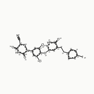 N#Cc1nn(-c2cc(Cl)c(Oc3cc(CCc4ccc(F)cc4)c(=O)[nH]n3)c(Cl)c2)c(=O)[nH]c1=O